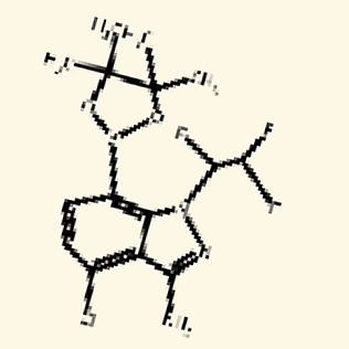 CC1(C)OB(c2ccc(Cl)c3c(N)nn(C(F)C(F)F)c23)OC1(C)C